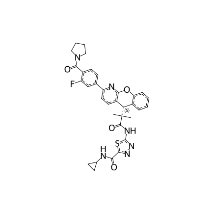 CC(C)(C(=O)Nc1nnc(C(=O)NC2CC2)s1)[C@H]1c2ccccc2Oc2nc(-c3ccc(C(=O)N4CCCC4)c(F)c3)ccc21